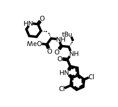 COC(=O)[C@H](C[C@@H]1CCCNC1=O)NC(=O)[C@H](CC(C)(C)C)NC(=O)c1cc2c(Cl)ccc(Cl)c2[nH]1